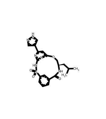 CC(C)C[C@@H]1COc2cc(-c3cn[nH]c3)nc(n2)NS(=O)(=O)c2cccc(c2)C(=O)N1